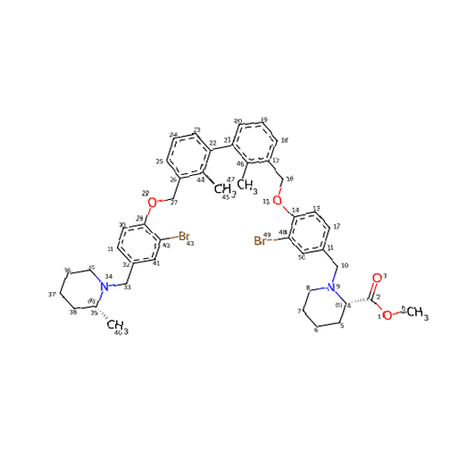 COC(=O)[C@@H]1CCCCN1Cc1ccc(OCc2cccc(-c3cccc(COc4ccc(CN5CCCC[C@H]5C)cc4Br)c3C)c2C)c(Br)c1